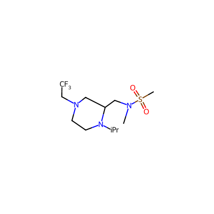 CC(C)N1CCN(CC(F)(F)F)CC1CN(C)S(C)(=O)=O